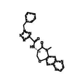 CN1C(=O)[C@@H](NC(=O)c2nnn(Cc3ccccc3)n2)COc2cc3nccnc3cc21